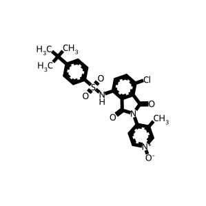 Cc1c[n+]([O-])ccc1N1C(=O)c2c(Cl)ccc(NS(=O)(=O)c3ccc(C(C)(C)C)cc3)c2C1=O